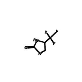 O=C1[N]CC(C(F)(F)F)N1